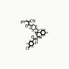 CC(C)/C=C(/C#N)C(=O)N1CCC(CC23CC2C(NC(=O)c2ccc(Cl)cc2)=Nc2ccccc23)CC1